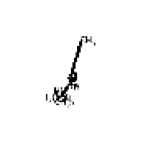 CCCCCCCCCCCCc1ccc2oc(NCCNC(=O)OC(C)(C)C)nc2c1